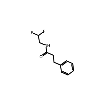 O=C(CCc1ccccc1)NCC(F)F